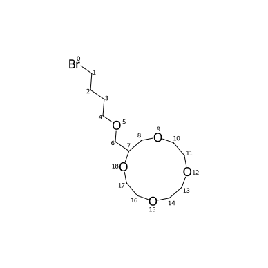 BrCCCCOCC1COCCOCCOCCO1